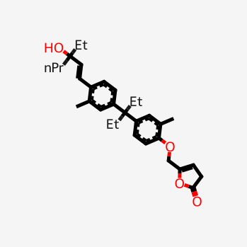 CCCC(O)(C=Cc1ccc(C(CC)(CC)c2ccc(OCC3=CCC(=O)O3)c(C)c2)cc1C)CC